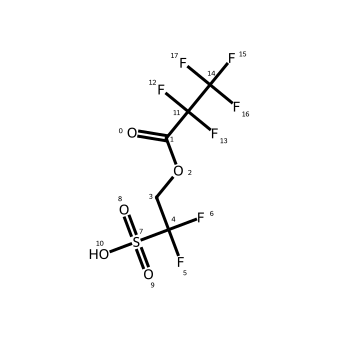 O=C(OCC(F)(F)S(=O)(=O)O)C(F)(F)C(F)(F)F